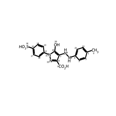 Cc1ccc(NNc2c(C(=O)O)nn(-c3ccc(S(=O)(=O)O)cc3)c2O)cc1